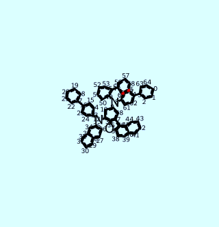 c1ccc(-c2ccc(N(c3cc(N(c4ccc(-c5ccccc5)cc4)c4ccc5ccccc5c4)c4oc5ccc6ccccc6c5c4c3)c3ccccc3-c3ccccc3)cc2)cc1